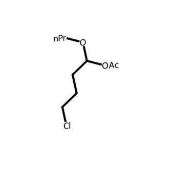 CCCOC(CCCCl)OC(C)=O